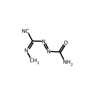 CN=C(C#N)N=NC(N)=O